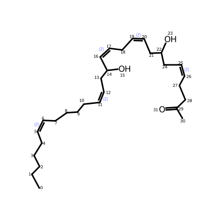 CCCCC/C=C\CCCC/C=C\CC(O)/C=C\C/C=C\CC(O)C/C=C\CCC(C)=O